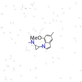 COc1cc(C)cc2ccn([C@H]3CC3N(C)C)c12